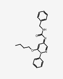 CCCCOc1c/c(=N\C(=O)NCc2ccccc2)cnn1-c1ccccc1